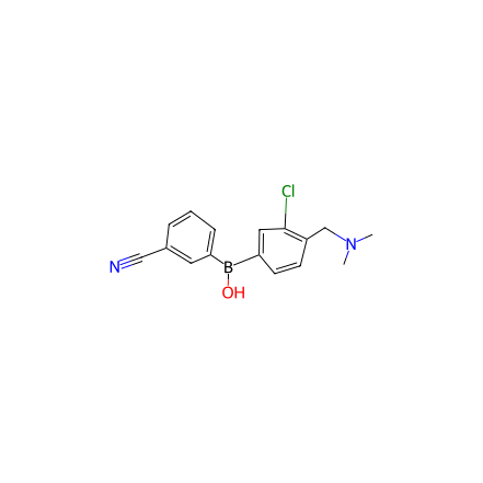 CN(C)Cc1ccc(B(O)c2cccc(C#N)c2)cc1Cl